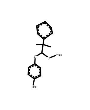 CCC(C)c1ccc(OC(OC(C)(C)C)C(C)(C)c2ccccc2)cc1